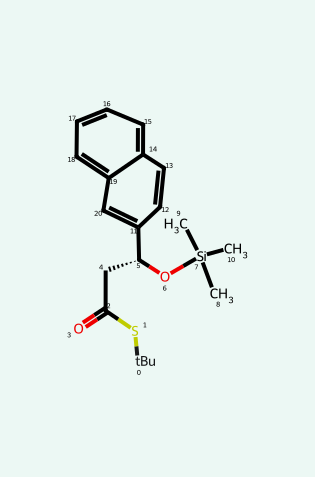 CC(C)(C)SC(=O)C[C@@H](O[Si](C)(C)C)c1ccc2ccccc2c1